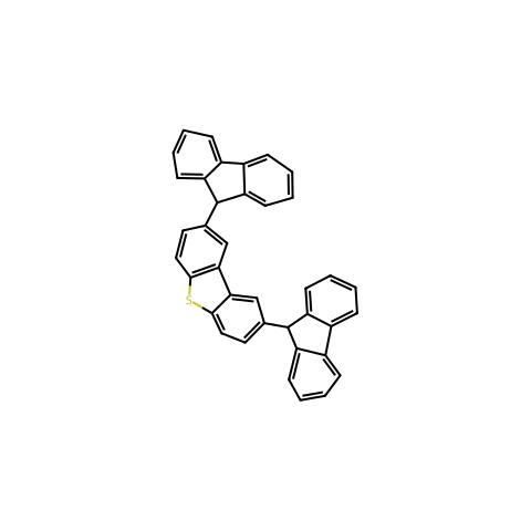 c1ccc2c(c1)-c1ccccc1C2c1ccc2sc3ccc(C4c5ccccc5-c5ccccc54)cc3c2c1